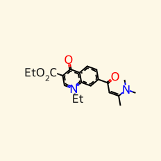 CCOC(=O)c1cn(CC)c2cc(C(=O)C=C(C)N(C)C)ccc2c1=O